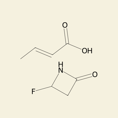 CC=CC(=O)O.O=C1CC(F)N1